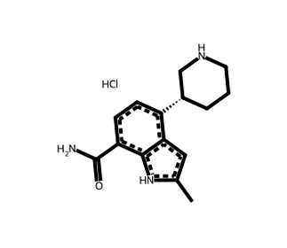 Cc1cc2c([C@H]3CCCNC3)ccc(C(N)=O)c2[nH]1.Cl